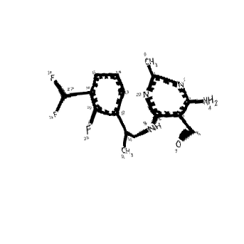 Cc1nc(N)c(C=O)c(NC(C)c2cccc(C(F)F)c2F)n1